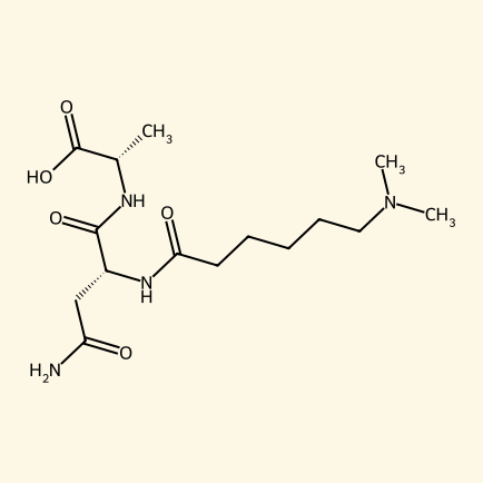 C[C@H](NC(=O)[C@@H](CC(N)=O)NC(=O)CCCCCN(C)C)C(=O)O